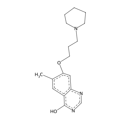 Cc1cc2c(O)ncnc2cc1OCCCN1CCCCC1